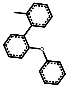 Cc1ccccc1-c1ccc[c]c1Oc1ccccc1